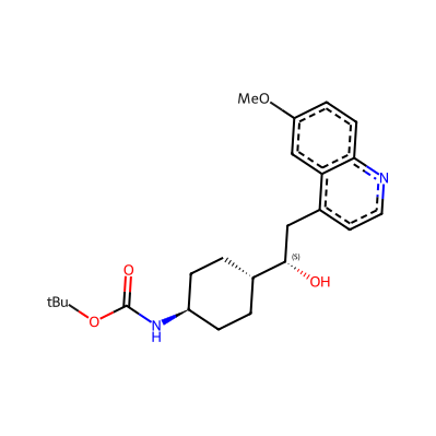 COc1ccc2nccc(C[C@H](O)[C@H]3CC[C@H](NC(=O)OC(C)(C)C)CC3)c2c1